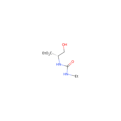 CCNC(=O)N[C@@H](CO)C(=O)OCC